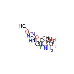 C#CCOc1cnc(C(=O)Nc2ccc(F)c([C@@]3(C)N=C(N)S[C@](C)([C@H](O)C(F)(F)F)[C@H]3C)c2)cn1